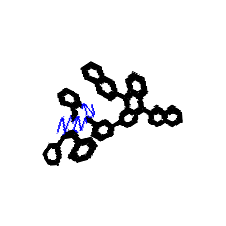 C1=CCCC(c2nc3c4ccccc4nc(-c4cccc(-c5ccc6c(-c7ccc8ccccc8c7)c7ccccc7c(-c7ccc8ccccc8c7)c6c5)c4)n3c2-c2ccccc2)=C1